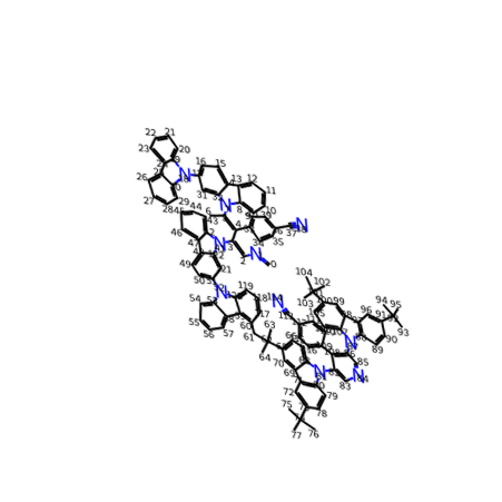 C=N/C=C(\C(=C(/C)n1c2ccccc2c2ccc(-n3c4ccccc4c4ccccc43)cc21)c1ccc(C#N)cc1)n1c2ccccc2c2ccc(-n3c4ccccc4c4c(CC(C)(C)c5ccc6c(c5)c5cc(C(C)(C)C)ccc5n6-c5cncc(-n6c7ccc(C(C)(C)C)cc7c7cc(C(C)(C)C)ccc76)c5-c5ccc(C#N)cc5)cccc43)cc21